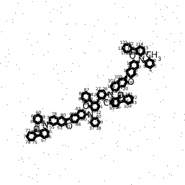 Cc1ccccc1N(c1ccc2cc3c(cc2c1)oc1cc2cc(N(c4cccc(-c5ccc(N(c6ccccc6)c6ccc7cc8c(cc7c6)oc6cc7cc(N(c9ccccc9)c9cccc%10c9oc9ccccc9%10)ccc7cc68)c6oc7ccccc7c56)c4C)c4cccc5c4oc4ccccc45)ccc2cc13)c1cccc2c1oc1ccccc12